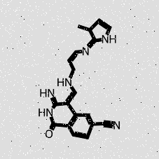 CC1C=CN/C1=N/C=C\CN/C=C1\C(=N)NC(=O)c2ccc(C#N)cc21